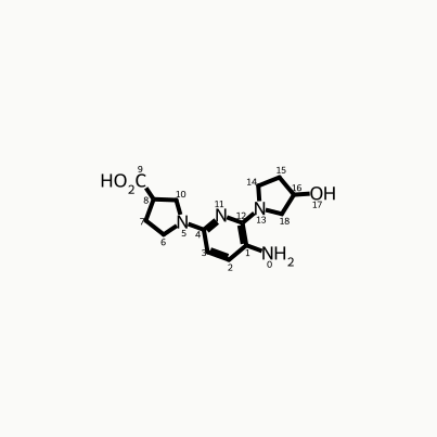 Nc1ccc(N2CCC(C(=O)O)C2)nc1N1CCC(O)C1